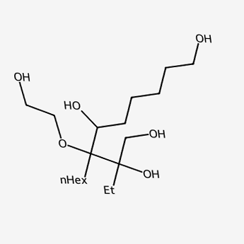 CCCCCCC(OCCO)(C(O)CCCCCO)C(O)(CC)CO